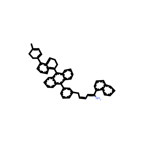 CC1=CC=C(c2cccc3c2=CCCC=3c2c3ccccc3c(-c3cccc(C/C=C\C=C(/N)c4cccc5ccccc45)c3)c3ccccc23)CC1